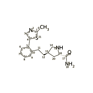 Cc1ncc(-c2ccccc2CC[C@H]2CN[C@H](C(N)=O)C2)s1